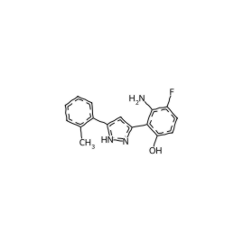 Cc1ccccc1-c1cc(-c2c(O)ccc(F)c2N)n[nH]1